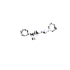 C(=C\c1ccccc1)/C=N/Nc1ccccc1